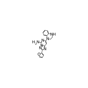 Nc1nc(N2CCNc3ccccc32)cc2nc(-c3ccco3)nn12